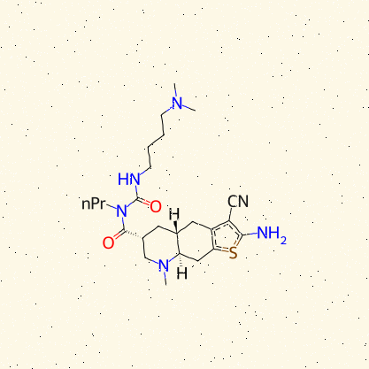 CCCN(C(=O)NCCCCN(C)C)C(=O)[C@@H]1C[C@@H]2Cc3c(sc(N)c3C#N)C[C@H]2N(C)C1